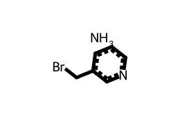 BrCc1cccnc1.N